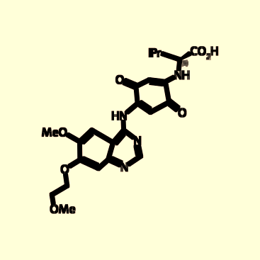 COCCOc1cc2ncnc(NC3=CC(=O)C(N[C@H](C(=O)O)C(C)C)=CC3=O)c2cc1OC